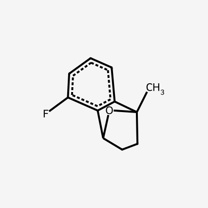 CC12CCC(O1)c1c(F)cccc12